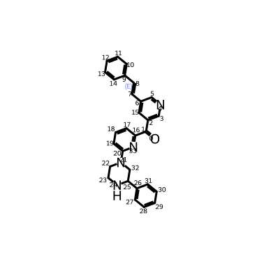 O=C(c1cncc(/C=C/c2ccccc2)c1)c1cccc(N2CCNC(c3ccccc3)C2)n1